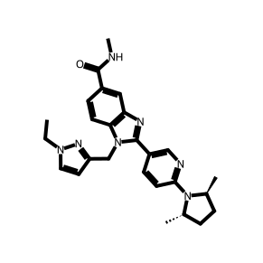 CCn1ccc(Cn2c(-c3ccc(N4[C@@H](C)CC[C@@H]4C)nc3)nc3cc(C(=O)NC)ccc32)n1